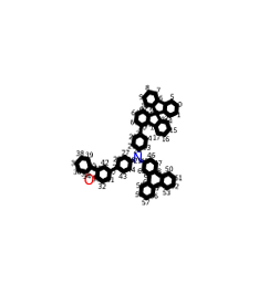 c1ccc2c(c1)-c1ccccc1C21c2ccccc2-c2c(-c3ccc(N(c4ccc(-c5ccc6oc7ccccc7c6c5)cc4)c4ccc5c6ccccc6c6ccccc6c5c4)cc3)cccc21